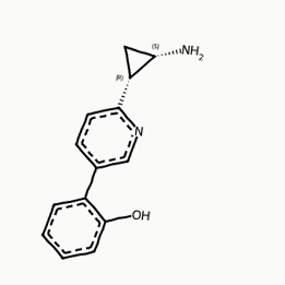 N[C@H]1C[C@H]1c1ccc(-c2ccccc2O)cn1